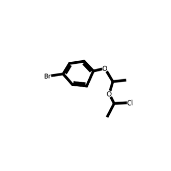 CC(Cl)OC(C)Oc1ccc(Br)cc1